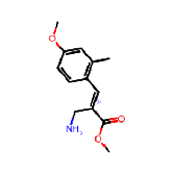 COC(=O)/C(=C/c1ccc(OC)cc1C)CN